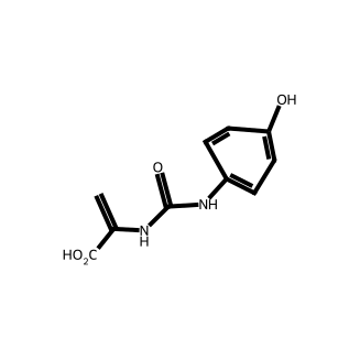 C=C(NC(=O)Nc1ccc(O)cc1)C(=O)O